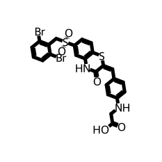 O=C(O)CNc1ccc(/C=C2/Sc3ccc(S(=O)(=O)Cc4c(Br)cccc4Br)cc3NC2=O)cc1